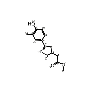 COC(=O)CC1CC(c2ccc(O)c(C)c2)=NO1